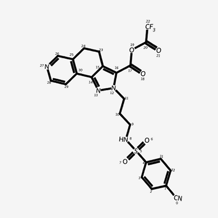 N#Cc1ccc(S(=O)(=O)NCCCn2nc3c(c2C(=O)OC(=O)C(F)(F)F)CCc2cnccc2-3)cc1